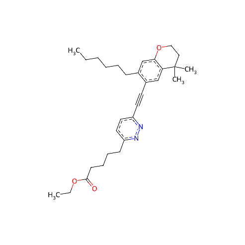 CCCCCCc1cc2c(cc1C#Cc1ccc(CCCCC(=O)OCC)nn1)C(C)(C)CCO2